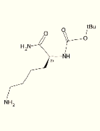 CC(C)(C)OC(=O)N[C@@H](CCCCN)C(N)=O